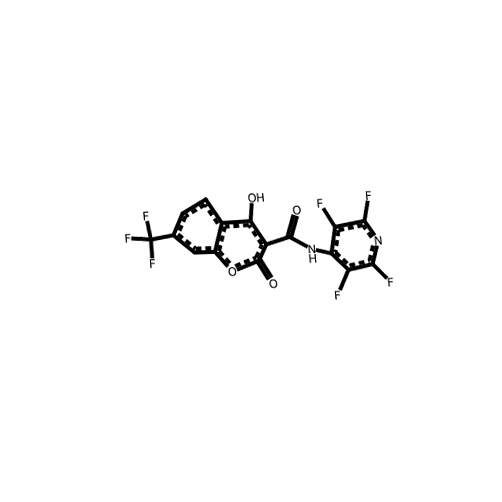 O=C(Nc1c(F)c(F)nc(F)c1F)c1c(O)c2ccc(C(F)(F)F)cc2oc1=O